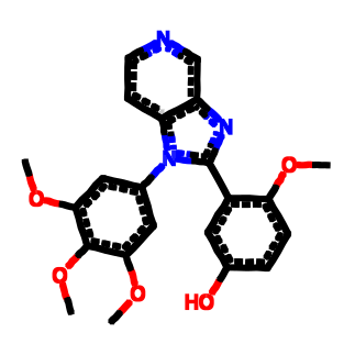 COc1ccc(O)cc1-c1nc2cnccc2n1-c1cc(OC)c(OC)c(OC)c1